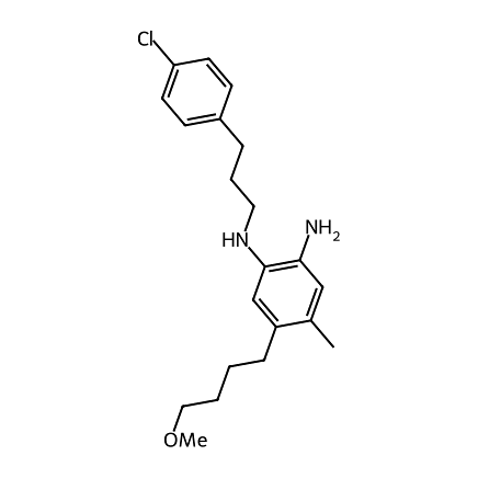 COCCCCc1cc(NCCCc2ccc(Cl)cc2)c(N)cc1C